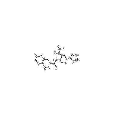 Cc1ccc2c(c1)CC(C(=O)Nc1ccc(-c3cn[nH]n3)cc1C(=O)N(C)C)CO2